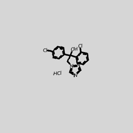 Cl.OC(Cn1cncn1)(c1ccc(Cl)cc1)c1ccccc1Cl